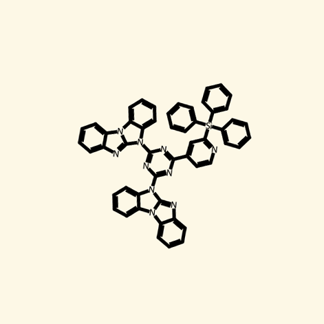 c1ccc([Si](c2ccccc2)(c2ccccc2)c2cc(-c3nc(-n4c5ccccc5n5c6ccccc6nc45)nc(-n4c5ccccc5n5c6ccccc6nc45)n3)ccn2)cc1